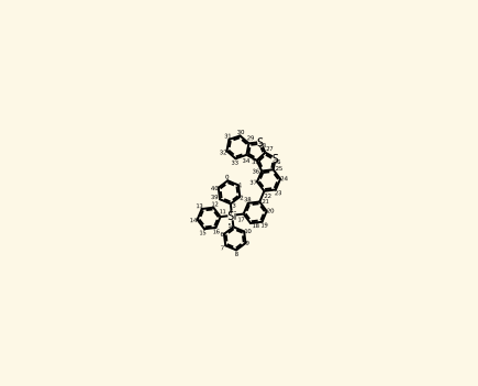 c1ccc([Si](c2ccccc2)(c2ccccc2)c2cccc(-c3ccc4sc5sc6ccccc6c5c4c3)c2)cc1